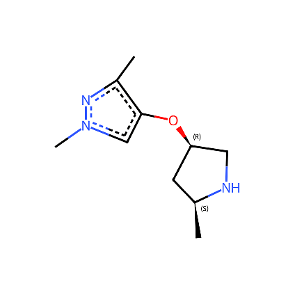 Cc1nn(C)cc1O[C@H]1CN[C@@H](C)C1